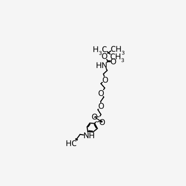 C#CCNc1ccc(S(=O)(=O)CCOCCOCCOCCNC(=O)OC(C)(C)C)cc1